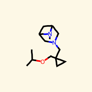 CC(C)OCC1(CN2CC3CC(C2)N3C)CC1